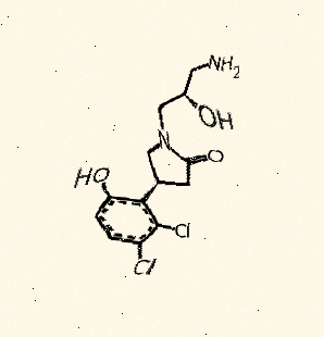 NC[C@@H](O)CN1C[C@H](c2c(O)ccc(Cl)c2Cl)CC1=O